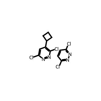 Clc1cc(C2CCC2)c(Cl)nn1.Clc1ccc(Cl)nn1